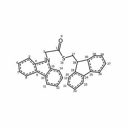 O=C(Cn1c2ccccc2c2ccccc21)SCC1c2ccccc2-c2ccccc21